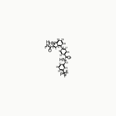 CNC(=O)c1cc2c(-c3ccc(C(=O)NCc4cccc(C(F)(F)F)c4)cc3)cccc2[nH]1